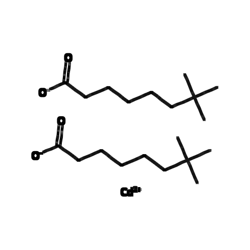 CC(C)(C)CCCCCC(=O)[O-].CC(C)(C)CCCCCC(=O)[O-].[Cd+2]